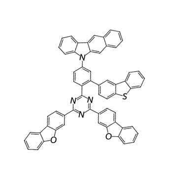 c1ccc2cc3c(cc2c1)c1ccccc1n3-c1ccc(-c2nc(-c3ccc4c(c3)oc3ccccc34)nc(-c3ccc4c(c3)oc3ccccc34)n2)c(-c2ccc3sc4ccccc4c3c2)c1